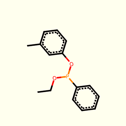 CCOP(Oc1cccc(C)c1)c1ccccc1